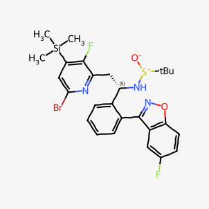 CC(C)(C)[S+]([O-])N[C@@H](Cc1nc(Br)cc([Si](C)(C)C)c1F)c1ccccc1-c1noc2ccc(F)cc12